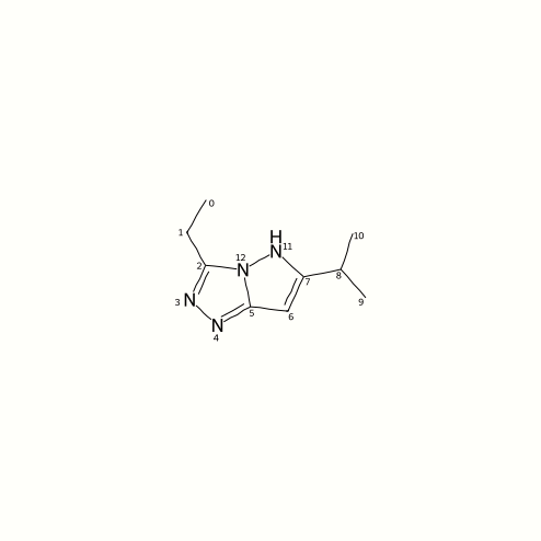 CCc1nnc2cc(C(C)C)[nH]n12